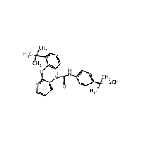 CC(C)(C)c1ccccc1Oc1ncccc1NC(=O)Nc1ccc(C(C)(C)CO)cc1